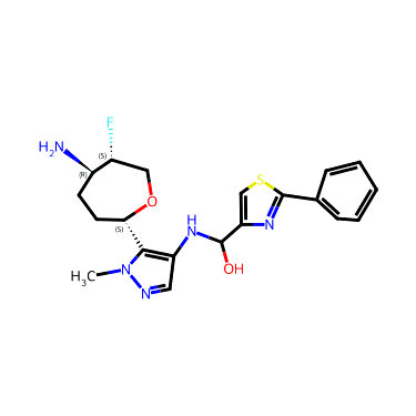 Cn1ncc(NC(O)c2csc(-c3ccccc3)n2)c1[C@@H]1CC[C@@H](N)[C@H](F)CO1